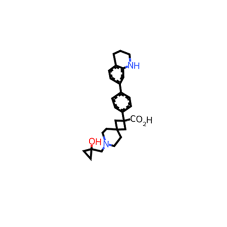 O=C(O)C1(c2ccc(-c3ccc4c(c3)NCCC4)cc2)CC2(CCN(CC3(O)CC3)CC2)C1